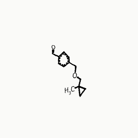 CC1(COCc2ccc(C=O)cc2)CC1